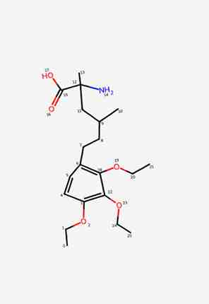 CCOc1ccc(CCC(C)CC(C)(N)C(=O)O)c(OCC)c1OCC